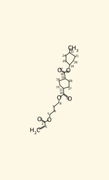 C=CC(=O)OCCCCOC(=O)C1CCC(C(=O)OC2CCC(C)CC2)CC1